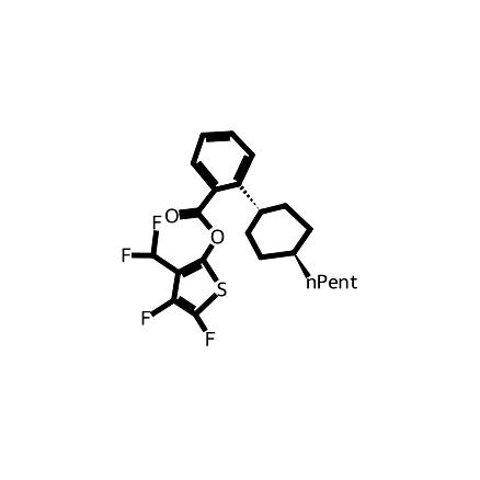 CCCCC[C@H]1CC[C@H](c2ccccc2C(=O)Oc2sc(F)c(F)c2C(F)F)CC1